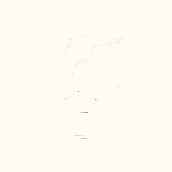 N#Cc1cc(C2CC(O)(c3ncccc3C3CNCCO3)C2)ccn1